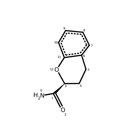 NC(=O)[C@@H]1CCc2ccccc2O1